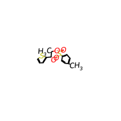 Cc1ccc(S(=O)(=O)OC(C)C(=O)c2cccs2)cc1